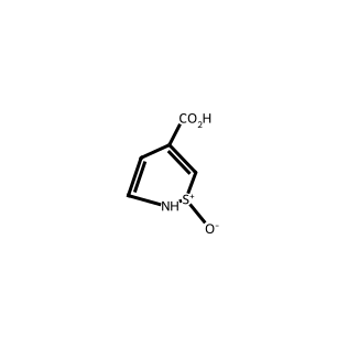 O=C(O)C1=C[S+]([O-])NC=C1